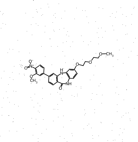 COCCOCCOc1ccc2c(c1)Nc1cc(-c3ccc([N+](=O)[O-])c(OC)c3)ccc1C(=O)N2